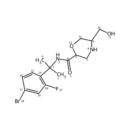 CC(C)(NC(=O)C1CNC(CO)CO1)c1ccc(Br)cc1F